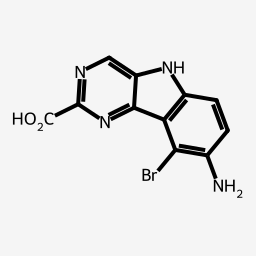 Nc1ccc2[nH]c3cnc(C(=O)O)nc3c2c1Br